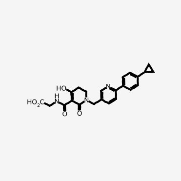 O=C(O)CNC(=O)C1=C(O)CCN(Cc2ccc(-c3ccc(C4CC4)cc3)nc2)C1=O